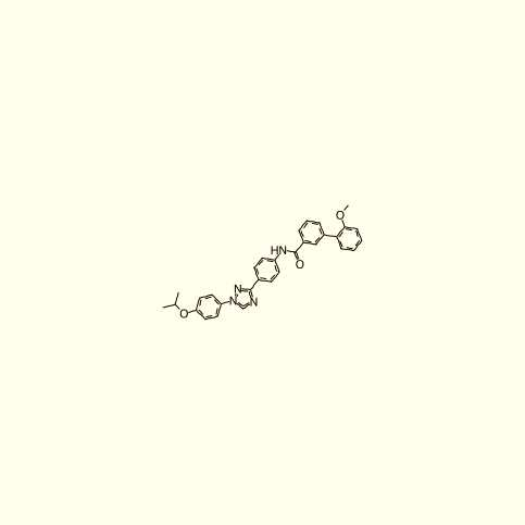 COc1ccccc1-c1cccc(C(=O)Nc2ccc(-c3ncn(-c4ccc(OC(C)C)cc4)n3)cc2)c1